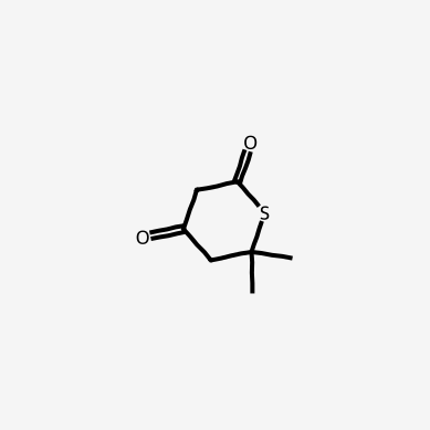 CC1(C)CC(=O)CC(=O)S1